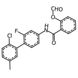 Cc1ccc(Cl)c(-c2ccc(NC(=O)c3ccccc3OC=O)cc2F)c1